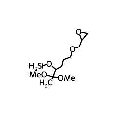 COC(C)(OC)C(CCCOCC1CO1)O[SiH3]